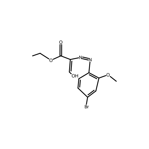 CCOC(=O)C(=C/O)/N=N\c1ccc(Br)cc1OC